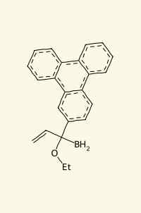 BC(C=C)(OCC)c1ccc2c3ccccc3c3ccccc3c2c1